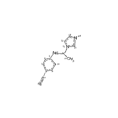 C/C(=N\c1ccc(C#N)cc1)n1ccnc1